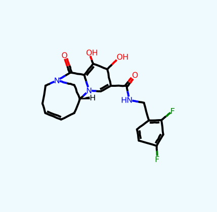 O=C(NCc1ccc(F)cc1F)C1=CN2C(=C(O)C1O)C(=O)N1CC/C=C\C[C@@H]2C1